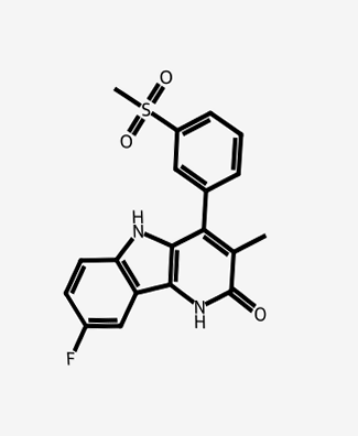 Cc1c(-c2cccc(S(C)(=O)=O)c2)c2[nH]c3ccc(F)cc3c2[nH]c1=O